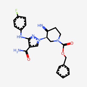 N=C1CCN(C(=O)OCc2ccccc2)C[C@H]1n1cc(C(N)=O)c(Nc2ccc(F)cc2)n1